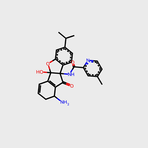 Cc1ccnc(C(=O)NC23C(=O)C4=C(C=CCC4N)C2(O)Oc2cc(C(C)C)ccc23)c1